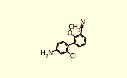 COc1c(C#N)cccc1-c1ccc(N)cc1Cl